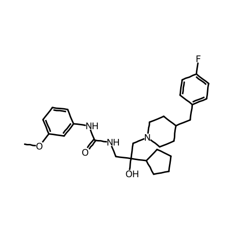 COc1cccc(NC(=O)NCC(O)(CN2CCC(Cc3ccc(F)cc3)CC2)C2CCCC2)c1